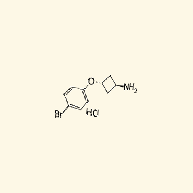 Cl.N[C@H]1C[C@H](Oc2ccc(Br)cc2)C1